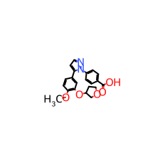 COc1ccc(-c2ccnn2-c2ccc(C(=O)O)cc2)cc1OC1CCOC1